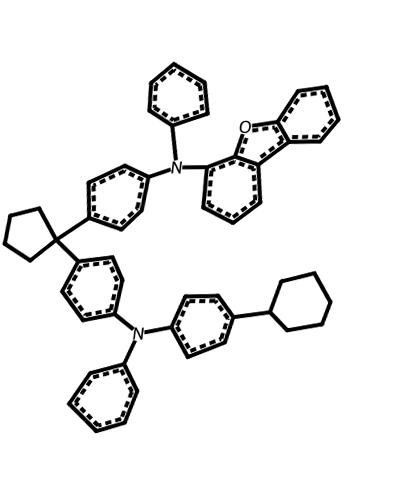 c1ccc(N(c2ccc(C3CCCCC3)cc2)c2ccc(C3(c4ccc(N(c5ccccc5)c5cccc6c5oc5ccccc56)cc4)CCCC3)cc2)cc1